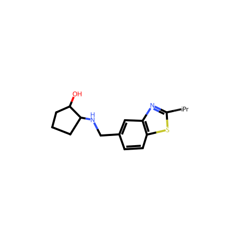 CC(C)c1nc2cc(CNC3CCCC3O)ccc2s1